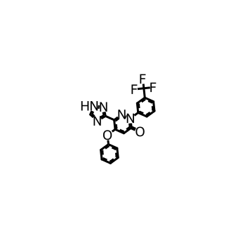 O=c1cc(Oc2ccccc2)c(-c2nc[nH]n2)nn1-c1cccc(C(F)(F)F)c1